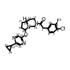 O=C(Cc1ccc(Cl)c(F)c1)N1CC[C@@H]2CC[C@H](Oc3cnc(C4CC4)cn3)N2C1